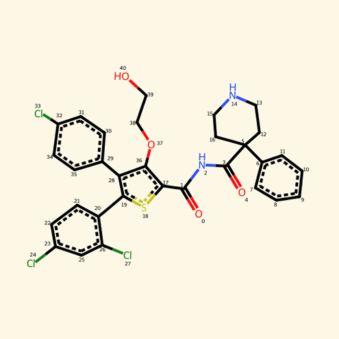 O=C(NC(=O)C1(c2ccccc2)CCNCC1)c1sc(-c2ccc(Cl)cc2Cl)c(-c2ccc(Cl)cc2)c1OCCO